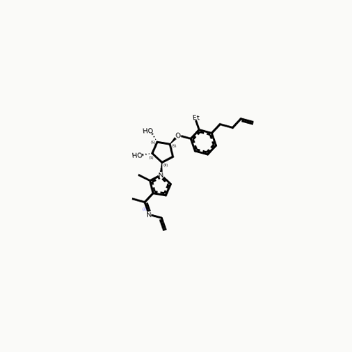 C=CCCc1cccc(O[C@H]2C[C@@H](n3ccc(/C(C)=N\C=C)c3C)[C@H](O)[C@@H]2O)c1CC